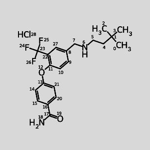 CC(C)(C)CCNCc1ccc(Oc2ccc(C(N)=O)cc2)c(C(F)(F)F)c1.Cl